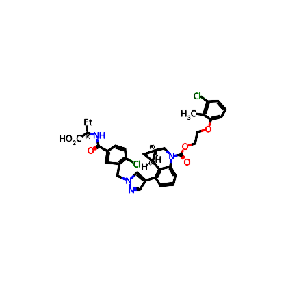 CC[C@@H](NC(=O)c1ccc(Cl)c(Cn2cc(-c3cccc4c3[C@H]3C[C@H]3CN4C(=O)OCCOc3cccc(Cl)c3C)cn2)c1)C(=O)O